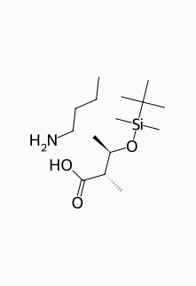 CCCCN.C[C@H](C(=O)O)[C@@H](C)O[Si](C)(C)C(C)(C)C